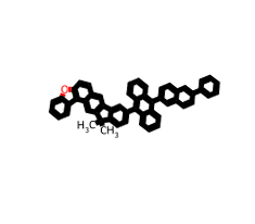 CC1(C)c2ccc(-c3c4ccccc4c(-c4ccc5cc(-c6ccccc6)ccc5c4)c4ccccc34)cc2-c2cc3ccc4oc5ccccc5c4c3cc21